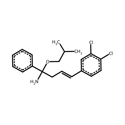 CC(C)COC(N)(CC=Cc1ccc(Cl)c(Cl)c1)c1ccccc1